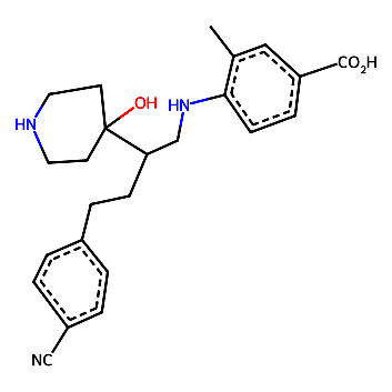 Cc1cc(C(=O)O)ccc1NCC(CCc1ccc(C#N)cc1)C1(O)CCNCC1